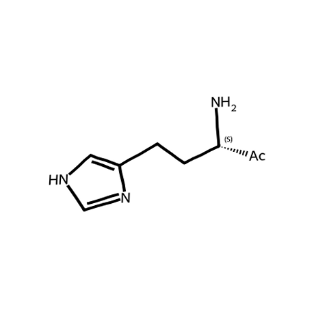 CC(=O)[C@@H](N)CCc1c[nH]cn1